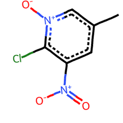 Cc1cc([N+](=O)[O-])c(Cl)[n+]([O-])c1